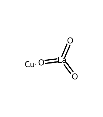 [Cu].[O]=[La](=[O])=[O]